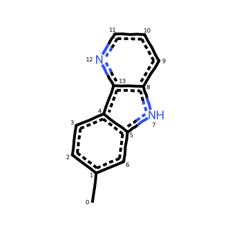 Cc1ccc2c(c1)[nH]c1cccnc12